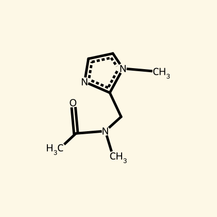 CC(=O)N(C)Cc1nccn1C